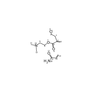 C=C(CCCl)C(=O)OCCN(C)C.C=CC(N)=O